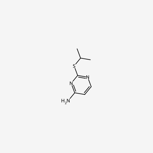 CC(C)Sc1nccc(N)n1